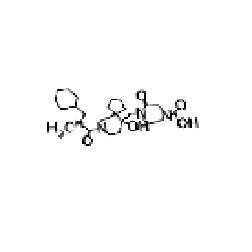 C[C@H](CC1CCCCC1)C(=O)N1CCC(O)(CN2CCN(C(=O)O)CC2=O)C2(CCCC2)C1